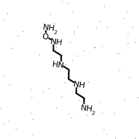 NCCNCCNCCNON